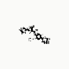 Cc1nc(-c2cnccn2)sc1C(=O)Nc1ccc(C2CNCCO2)cc1.Cl